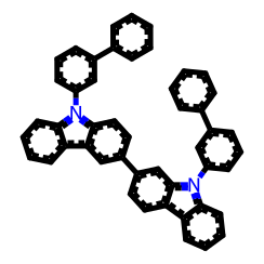 c1ccc(-c2cccc(-n3c4ccccc4c4cc(-c5ccc6c7ccccc7n(-c7cccc(-c8ccccc8)c7)c6c5)ccc43)c2)cc1